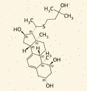 CC(SCCC(C)(C)O)[C@H]1[C@H](O)C[C@H]2C3=CC=C4C[C@@H](O)C[C@H](O)[C@]4(C)[C@H]3CC[C@@]21C